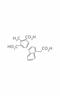 Cc1c(C(=O)O)cccc1C(=O)O.O=C(O)Cc1cccc2ccccc12